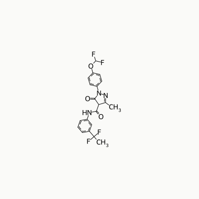 CC1=NN(c2ccc(OC(F)F)cc2)C(=O)C1C(=O)Nc1cccc(C(C)(F)F)c1